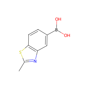 Cc1nc2cc(B(O)O)ccc2s1